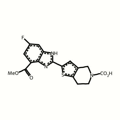 COC(=O)c1cc(F)cc2[nH]c(-c3cc4c(s3)CCN(C(=O)O)C4)nc12